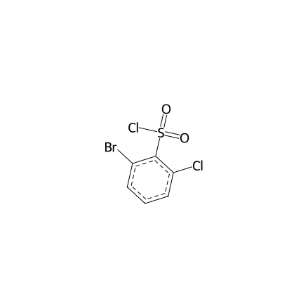 O=S(=O)(Cl)c1c(Cl)cccc1Br